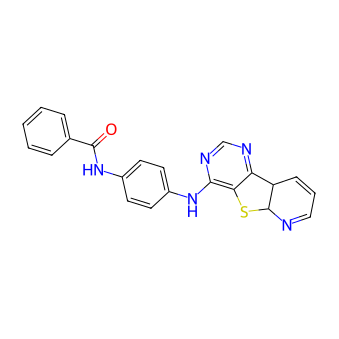 O=C(Nc1ccc(Nc2ncnc3c2SC2N=CC=CC32)cc1)c1ccccc1